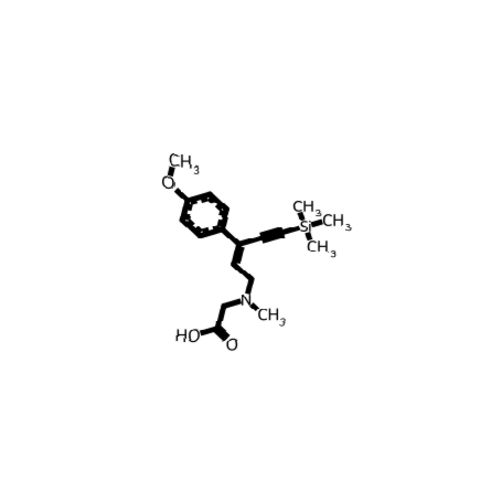 COc1ccc(C(C#C[Si](C)(C)C)=CCN(C)CC(=O)O)cc1